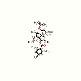 C=C1C[C@H]2[C@@H](/C(=C\[C@H](CCCCC)C(C)(C)C)O[SiH](C)C)[C@H](C(C)(C)C)C[C@@]2(O[SiH](C)C)C1OC(=O)c1c(C)cc(C)cc1C